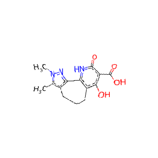 Cc1c2c(nn1C)-c1[nH]c(=O)c(C(=O)O)c(O)c1CCC2